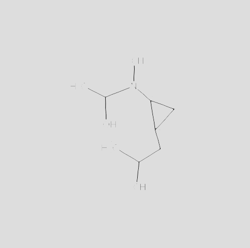 CC(C)CC1CC1N(C)C(C)O